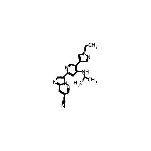 CCn1cc(-c2cnc(-c3cnc4cc(C#N)cnn34)cc2NC(C)C)cn1